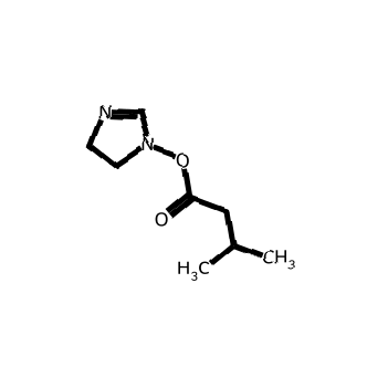 CC(C)CC(=O)ON1C=NCC1